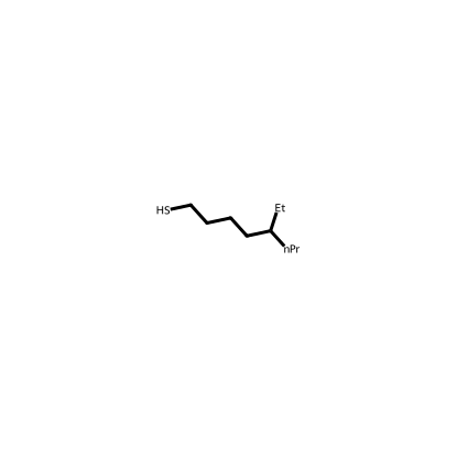 CCCC(CC)CCCCS